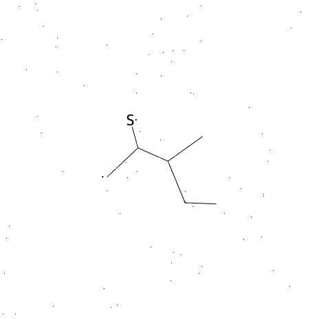 [CH2]C([S])C(C)CC